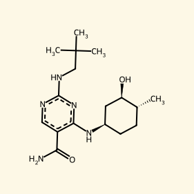 C[C@@H]1CC[C@@H](Nc2nc(NCC(C)(C)C)ncc2C(N)=O)C[C@H]1O